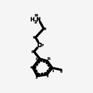 Cc1cccc(COCCN)c1